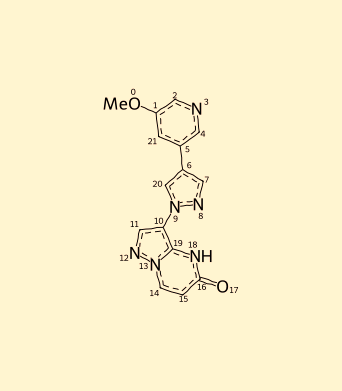 COc1cncc(-c2cnn(-c3cnn4ccc(=O)[nH]c34)c2)c1